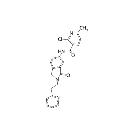 Cc1ccc(C(=O)Nc2ccc3c(c2)C(=O)N(CCc2ccccn2)C3)c(Cl)n1